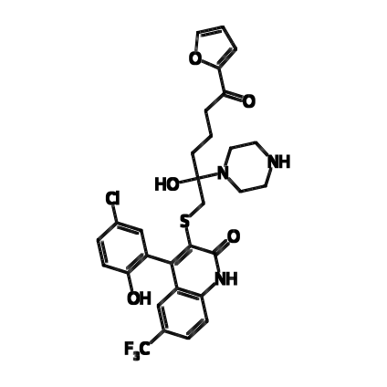 O=C(CCCC(O)(CSc1c(-c2cc(Cl)ccc2O)c2cc(C(F)(F)F)ccc2[nH]c1=O)N1CCNCC1)c1ccco1